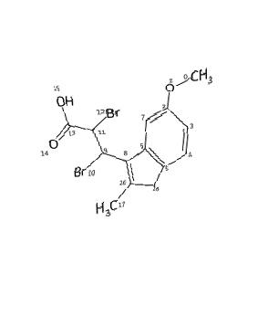 COc1ccc2c(c1)C(C(Br)C(Br)C(=O)O)=C(C)C2